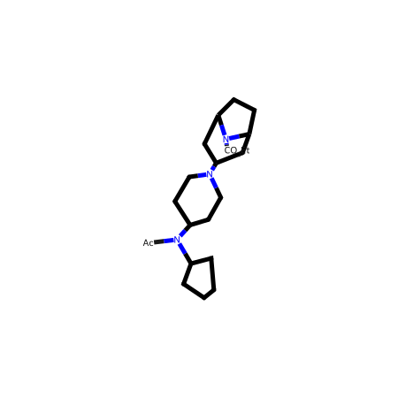 CCOC(=O)N1C2CCC1CC(N1CCC(N(C(C)=O)C3CCCC3)CC1)C2